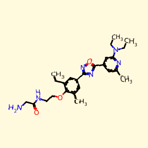 CCc1cc(-c2noc(-c3cc(C)nc(N(CC)CC)c3)n2)cc(C)c1OCCNC(=O)CN